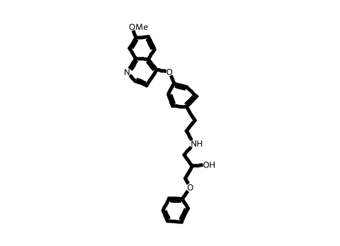 COc1ccc2c(Oc3ccc(CCNCC(O)COc4ccccc4)cc3)ccnc2c1